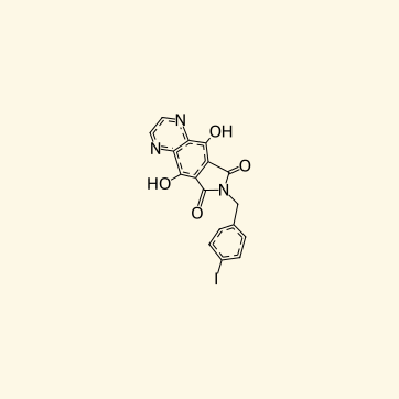 O=C1c2c(c(O)c3nccnc3c2O)C(=O)N1Cc1ccc(I)cc1